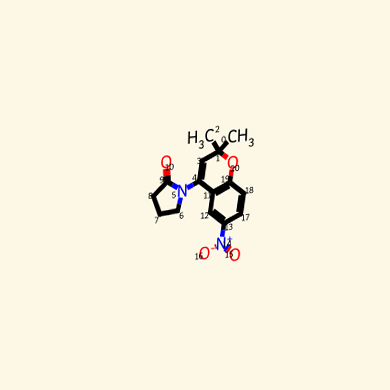 CC1(C)C=C(N2CCCC2=O)c2cc([N+](=O)[O-])ccc2O1